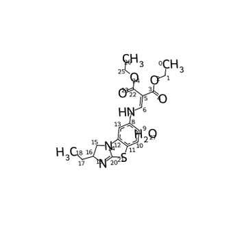 CCOC(=O)C(=CNc1ccc2c(c1)N1CC(CC)N=C1S2)C(=O)OCC.O